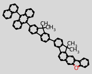 CC1(C)c2cc(-c3ccc4c(c3)-c3ccc5cc6oc7ccccc7c6cc5c3C4(C)C)ccc2-c2ccc(-c3c4ccccc4c(-c4cccc5ccccc45)c4ccccc34)cc21